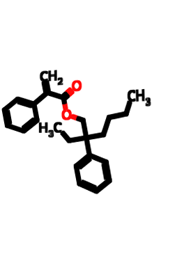 C=C(C(=O)OCC(CC)(CCCC)c1ccccc1)c1ccccc1